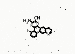 N#Cc1nc(-c2ccc3ncccc3c2)c(-c2c(F)cccc2F)nc1N